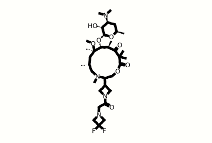 CO[C@]1(C)C[C@@H](C)CN(C)C(C2CN(C(=O)CN3CC(F)(F)C3)C2)COC(=O)C(C)(C)C(=O)[C@H](C)[C@H]1O[C@@H]1O[C@H](C)C[C@H](N(C)C)[C@H]1O